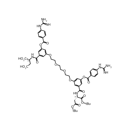 CC(C)(C)OC(=O)C[C@H](NC(=O)c1cc(OCCOCCOCCOc2cc(OC(=O)c3ccc(NC(=N)N)cc3)cc(C(=O)N[C@@H](CC(=O)O)C(=O)O)c2)cc(OC(=O)c2ccc(NC(=N)N)cc2)c1)C(=O)OC(C)(C)C